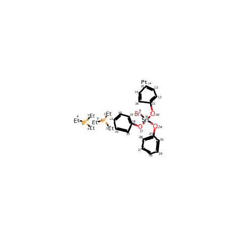 CCP(CC)CC.CCP(CC)CC.[Br][Sn]([O]c1ccccc1)([O]c1ccccc1)[O]c1ccccc1.[Pt]